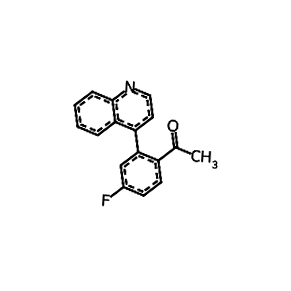 CC(=O)c1ccc(F)cc1-c1ccnc2ccccc12